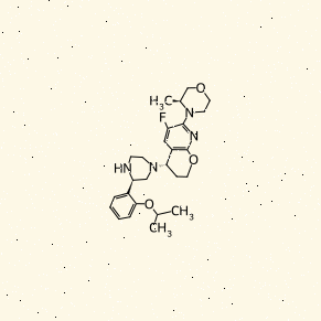 CC(C)Oc1ccccc1[C@@H]1CN([C@H]2CCOc3nc(N4CCOC[C@@H]4C)c(F)cc32)CCN1